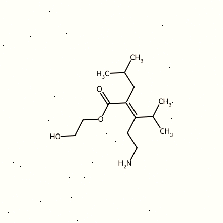 CC(C)CC(C(=O)OCCO)=C(CCN)C(C)C